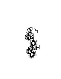 COc1cnc2c(Sc3ccc(Nc4nncc5ccccc45)cc3)ccnc2c1